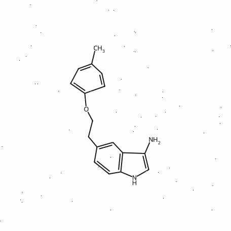 Cc1ccc(OCCc2ccc3[nH]cc(N)c3c2)cc1